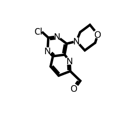 O=Cc1ccc2nc(Cl)nc(N3CCOCC3)c2n1